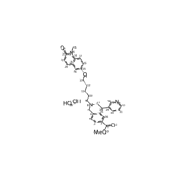 COC(=O)c1ccc(CN(CCCCCOc2ccc3c(ccc(=O)n3C)c2)CCc2cccnc2)cc1.Cl.Cl